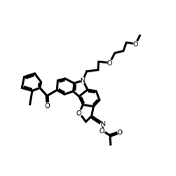 COCCCOCCCn1c2ccc(C(=O)c3ccccc3C)cc2c2c3c(ccc21)/C(=N/OC(C)=O)CO3